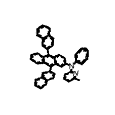 Cc1cccc(N(c2ccccc2)c2ccc3c(-c4ccc5ccccc5c4)c4ccccc4c(-c4ccc5ccccc5c4)c3c2)n1